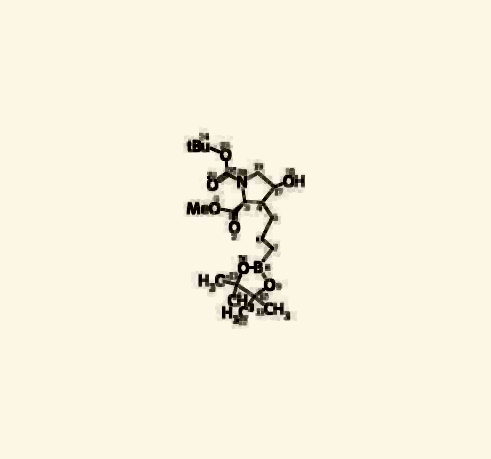 COC(=O)[C@@H]1C(CCCB2OC(C)(C)C(C)(C)O2)C(O)CN1C(=O)OC(C)(C)C